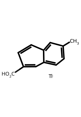 Cc1ccc2cc(C(=O)O)ccc2c1.[Tl]